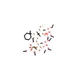 CCO[Si](CC)(OCC)OCCS(SSS(S)(C[Si](OCC)(OCC)OCC)SS)(SC1(C)CCCCC1)C(C)(C)S(S)(C[Si](OCC)(OCC)OCC)SS